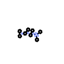 c1ccc(-c2nc(-c3ccccc3)nc(-n3c4ccccc4c4c(-n5c6ccccc6c6cc(-n7c8ccccc8c8ccccc87)ccc65)cccc43)n2)cc1